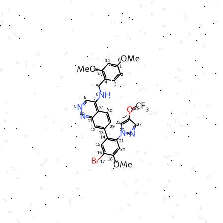 COc1ccc(CNc2cnnc3cc(-c4cc(Br)c(OC)cc4-n4cc(OC(F)(F)F)cn4)ccc23)c(OC)c1